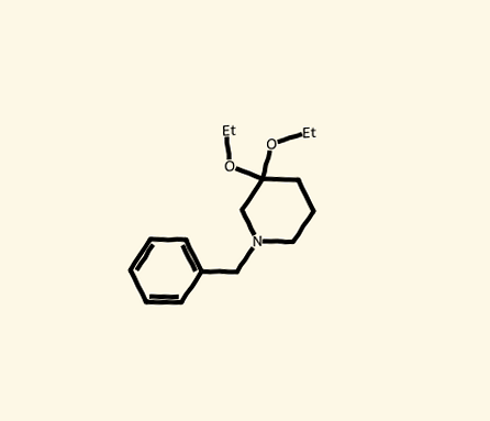 CCOC1(OCC)CCCN(Cc2ccccc2)C1